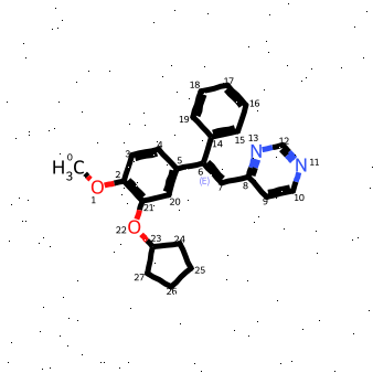 COc1ccc(/C(=C/c2ccncn2)c2ccccc2)cc1OC1CCCC1